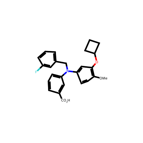 COc1ccc(N(Cc2cccc(F)c2)c2cccc(C(=O)O)c2)cc1OC1CCC1